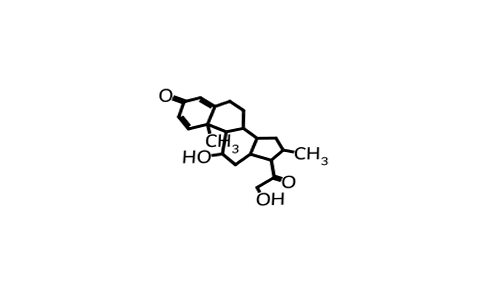 CC1CC2C(CC(O)C3C2CCC2=CC(=O)C=CC23C)C1C(=O)CO